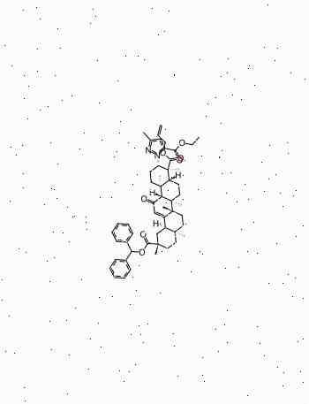 C=CCOC(=O)[C@]1(C)[C@@H](n2nc(C)cc2C(=O)OCC)CC[C@@]2(C)[C@H]1CC[C@]1(C)[C@@H]2C(=O)C=C2[C@@H]3C[C@@](C)(C(=O)OC(c4ccccc4)c4ccccc4)CC[C@]3(C)CC[C@]21C